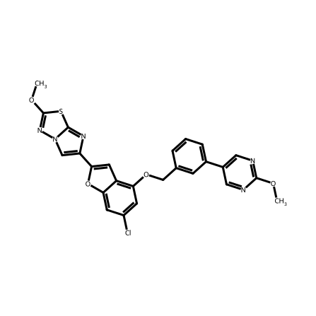 COc1ncc(-c2cccc(COc3cc(Cl)cc4oc(-c5cn6nc(OC)sc6n5)cc34)c2)cn1